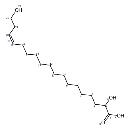 O=C(O)C(O)CCCCCCCCCCCC/C=C\CCO